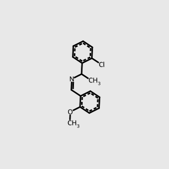 COc1ccccc1/C=N\C(C)c1ccccc1Cl